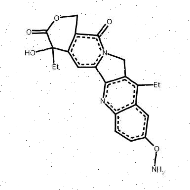 CCc1c2c(nc3ccc(ON)cc13)-c1cc3c(c(=O)n1C2)COC(=O)C3(O)CC